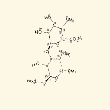 CO[C@@H]1O[C@@H](OS(=O)(=O)O)C(O)C(O[C@@H]2O[C@@H](C(=O)O)[C@@H](OC)C(O)C2O)C1NC(C)=O